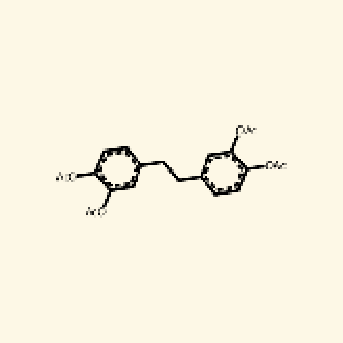 CC(=O)Oc1ccc(CCc2ccc(OC(C)=O)c(OC(C)=O)c2)cc1OC(C)=O